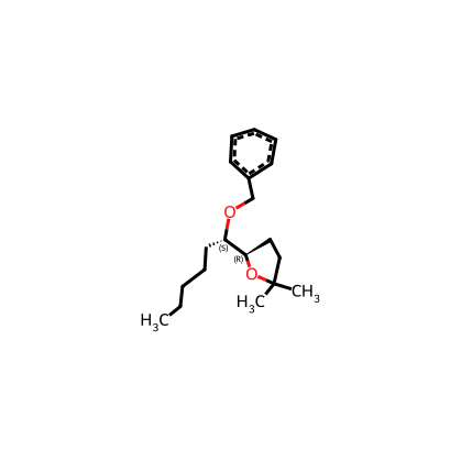 CCCCC[C@H](OCc1ccccc1)[C@H]1CCC(C)(C)O1